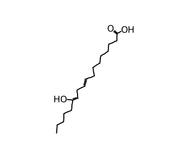 CCCCCC(O)=CCC=CCCCCCCCC(=O)O